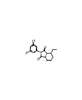 CCC1CCCC2C(=O)N(c3cc(Cl)cc(Cl)c3)C(=O)C12